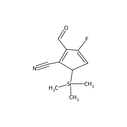 C[Si](C)(C)C1C=C(F)C(C=O)=C1C#N